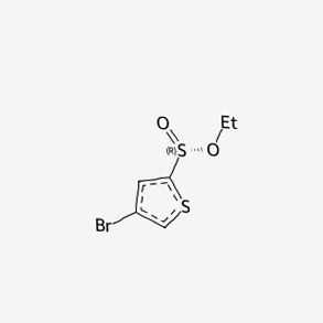 CCO[S@@](=O)c1cc(Br)cs1